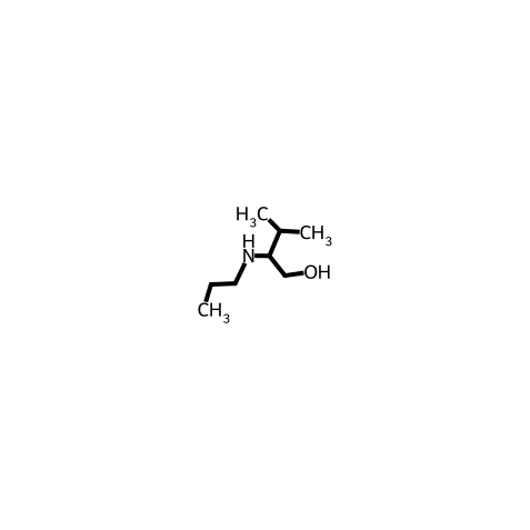 CCCNC(CO)C(C)C